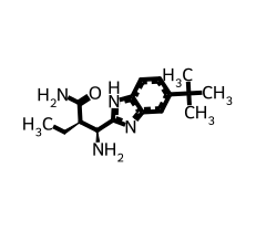 CC[C@@H](C(N)=O)[C@H](N)c1nc2cc(C(C)(C)C)ccc2[nH]1